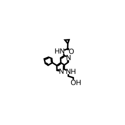 O=C(Nc1cc2c(-c3ccccc3)cnc(NCCO)c2cn1)C1CC1